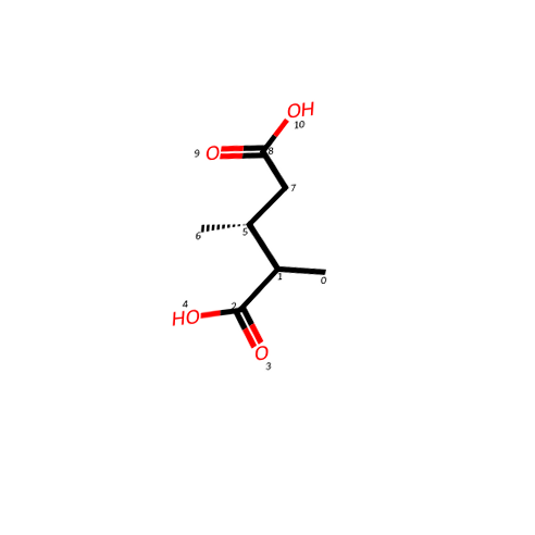 CC(C(=O)O)[C@H](C)CC(=O)O